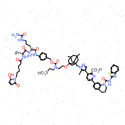 Cc1c(-c2ccc(-c3ccc4c(c3)N(C(=O)Nc3nc5ccccc5s3)CCC4)nc2C(=O)O)cnn1CC12CC3(C)CC(C)(C1)CC(OCCN(CCS(=O)(=O)O)C(=O)OCc1ccc(NC(=O)[C@H](CCCNC(N)=O)NC(=O)[C@@H](NC(=O)CCCCCN4C(=O)C=CC4O)C(C)C)cc1)(C3)C2